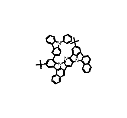 CC(C)(C)c1cc(-c2ccc3c(c2)c2ccccc2n3-c2ccccc2)c2c(c1)c1c3ccccc3cc3c4cc5c(nc4n2c31)c1cc(C(C)(C)C)cc2c3ccc4ccccc4c3n5c21